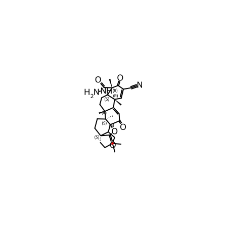 CC1(C)CC[C@@]23CC[C@@]4(C)[C@]5(C)CC[C@@]6(NN)[C@](C)(C=O)C(=O)C(C#N)=C[C@]6(C)C5=CC(=O)[C@]4(OC2=O)C3C1